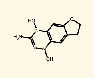 NC1=NN(O)c2cc3c(cc2N1O)OCC3